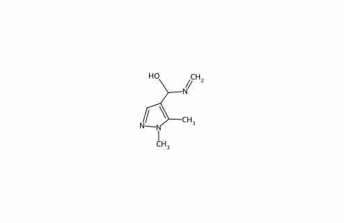 C=NC(O)c1cnn(C)c1C